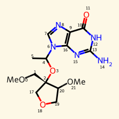 COC[C@]1(OC(C)n2cnc3c(=O)[nH]c(N)nc32)COCC1OC